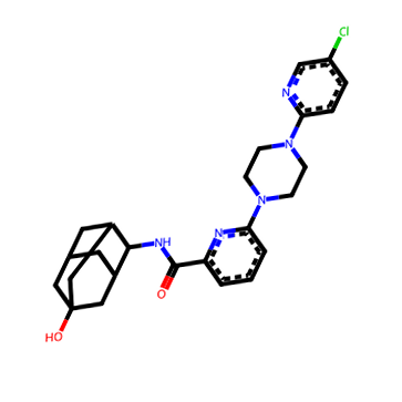 O=C(NC1C2CC3CC1CC(O)(C3)C2)c1cccc(N2CCN(c3ccc(Cl)cn3)CC2)n1